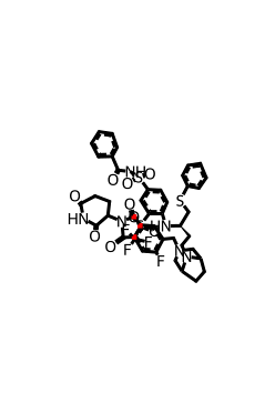 O=C1CCC(N2C(=O)c3cc(F)c(CN4CC5CCC(C4)N5CC[C@H](CSc4ccccc4)Nc4ccc(S(=O)(=O)NC(=O)c5ccccc5)cc4S(=O)(=O)C(F)(F)F)cc3C2=O)C(=O)N1